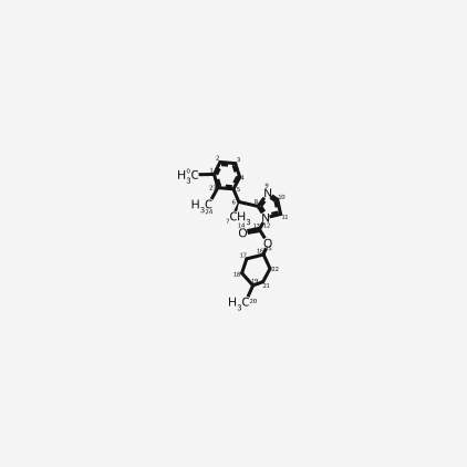 Cc1cccc([C@H](C)c2nccn2C(=O)OC2CCC(C)CC2)c1C